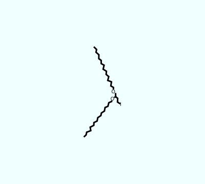 CCCCCCCCCCCCCCCCOCC(CCI)OCCCCCCCCCCCCCCCC